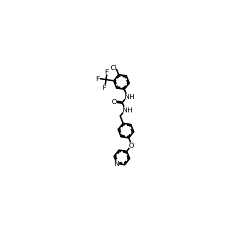 O=C(NCc1ccc(Oc2ccncc2)cc1)Nc1ccc(Cl)c(C(F)(F)F)c1